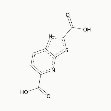 O=C(O)c1ccc2nc(C(=O)O)sc2n1